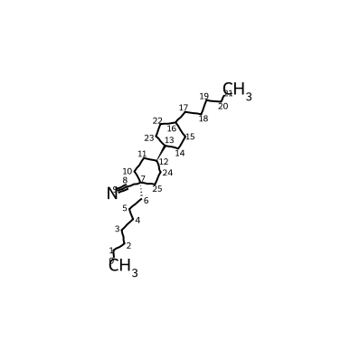 CCCCCCC[C@]1(C#N)CC[C@@H](C2CCC(CCCCC)CC2)CC1